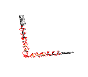 O.O.O.O.O.O=P([O-])([O-])[O-].O=P([O-])([O-])[O-].O=P([O-])([O-])[O-].O=P([O-])([O-])[O-].O=P([O-])([O-])[O-].O=P([O-])([O-])[O-].O=[Si]([O-])[O-].O=[Si]([O-])[O-].O=[Si]([O-])[O-].O=[Si]([O-])[O-].O=[Si]([O-])[O-].O=[Si]([O-])[O-].[Ca+2].[Ca+2].[Ca+2].[Ca+2].[Ca+2].[Sr+2].[Sr+2].[Sr+2].[Sr+2].[Sr+2].[Zn+2].[Zn+2].[Zn+2].[Zn+2].[Zn+2]